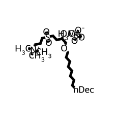 CCCCCCCCCCCCCCCCCCOCC(CCS(=O)(=O)CCC[N+](C)(C)C)OC.CS(=O)(=O)[O-]